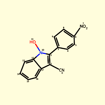 N#Cc1c(-c2ccc([N+](=O)[O-])cc2)n(O)c2ccccc12